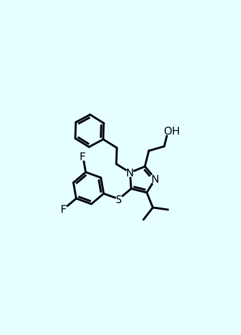 CC(C)c1nc(CCO)n(CCc2ccccc2)c1Sc1cc(F)cc(F)c1